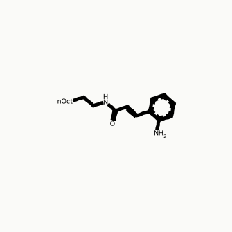 CCCCCCCCCCNC(=O)/C=C/c1ccccc1N